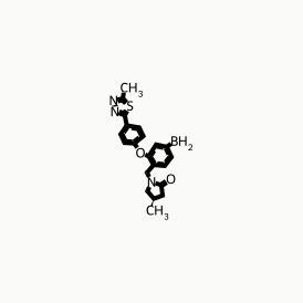 Bc1ccc(CN2C[C@@H](C)CC2=O)c(Oc2ccc(-c3nnc(C)s3)cc2)c1